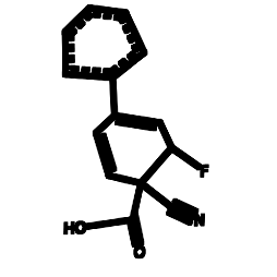 N#CC1(C(=O)O)C=CC(c2ccccc2)=CC1F